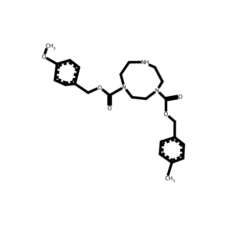 COc1ccc(COC(=O)N2CCNCCN(C(=O)OCc3ccc(C)cc3)CC2)cc1